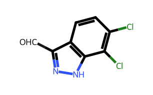 O=Cc1n[nH]c2c(Cl)c(Cl)ccc12